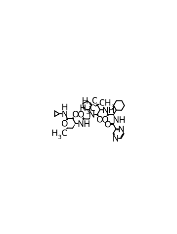 CCC[C@H](NC(=O)CN(C(=O)C(NC(=O)[C@@H](NC(=O)c1cnccn1)C1CCCCC1)C(C)(C)C)C1CCCC1)C(=O)C(=O)NC1CC1